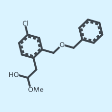 COC(O)Cc1ccc(Cl)cc1COCc1ccccc1